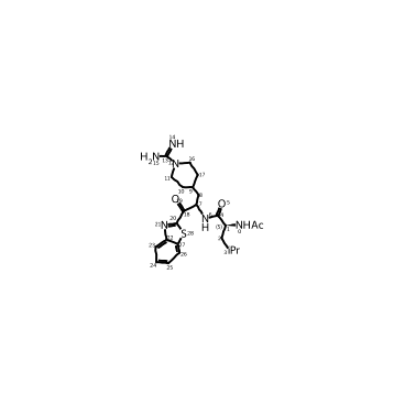 CC(=O)N[C@@H](CC(C)C)C(=O)NC(CC1CCN(C(=N)N)CC1)C(=O)c1nc2ccccc2s1